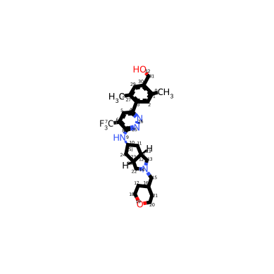 Cc1cc(-c2cc(C(F)(F)F)c(N[C@H]3C[C@@H]4CN(CC5CCOCC5)C[C@@H]4C3)nn2)c(C)cc1CO